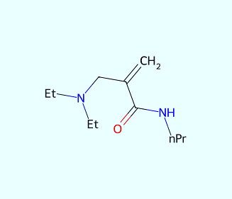 C=C(CN(CC)CC)C(=O)NCCC